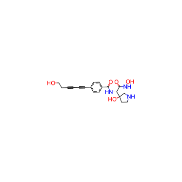 O=C(N[C@H](C(=O)NO)[C@@]1(O)CCNC1)c1ccc(C#CC#CCCO)cc1